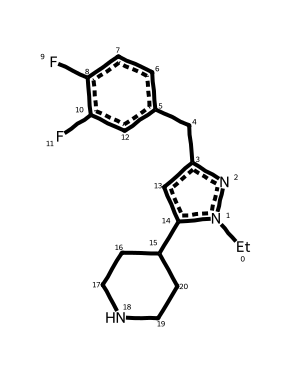 CCn1nc(Cc2ccc(F)c(F)c2)cc1C1CCNCC1